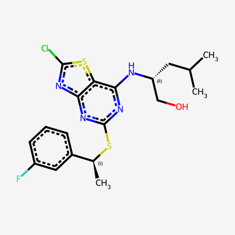 CC(C)C[C@H](CO)Nc1nc(S[C@@H](C)c2cccc(F)c2)nc2nc(Cl)sc12